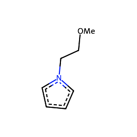 [CH2]OCCn1cccc1